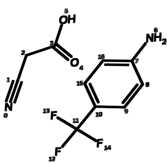 N#CCC(=O)O.Nc1ccc(C(F)(F)F)cc1